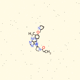 C=CC(=O)N1CCC[C@@H](n2nc(-c3ccc(OCc4ccccn4)c(C)c3)c3c(N)ncnc32)C1